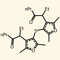 CCCC(=O)C(CC)c1c(C)oc(C)c1Sc1c(C)oc(C)c1C(CC)C(=O)CCC